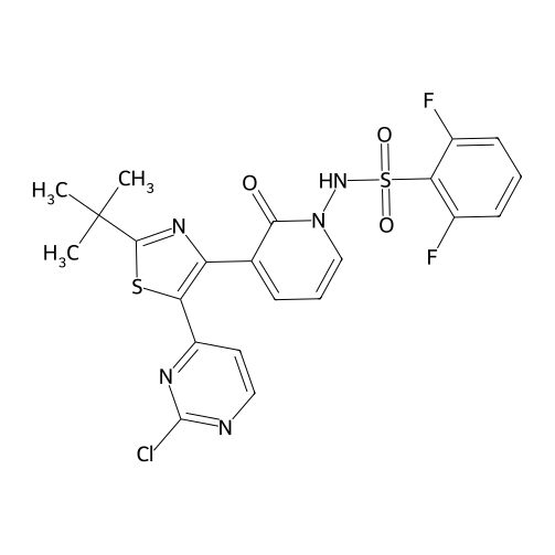 CC(C)(C)c1nc(-c2cccn(NS(=O)(=O)c3c(F)cccc3F)c2=O)c(-c2ccnc(Cl)n2)s1